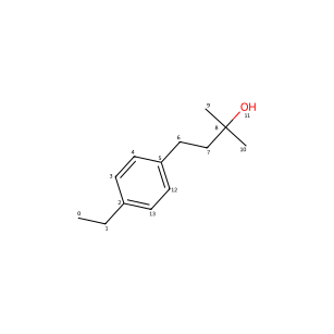 CCc1ccc(CCC(C)(C)O)cc1